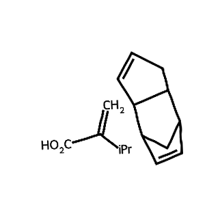 C1=CC2C3C=CC(C3)C2C1.C=C(C(=O)O)C(C)C